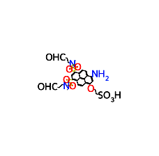 CN(CCC=O)S(=O)(=O)c1cc(S(=O)(=O)N(C)CCC=O)c2ccc3c(OCCS(=O)(=O)O)cc(N)c4ccc1c2c43